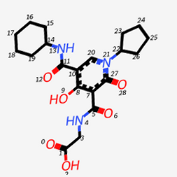 O=C(O)CNC(=O)c1c(O)c(C(=O)NC2CCCCC2)cn(C2CCCC2)c1=O